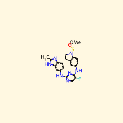 COOSN1CCc2cc(Nc3nc(Nc4ccc5nc(C)[nH]c5c4)ncc3F)ccc21